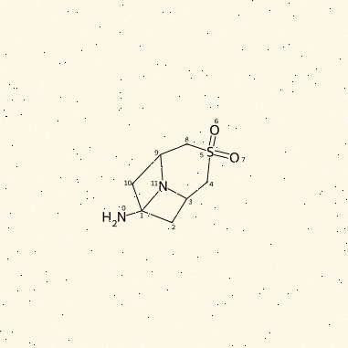 NC12CC3CS(=O)(=O)CC(C1)N32